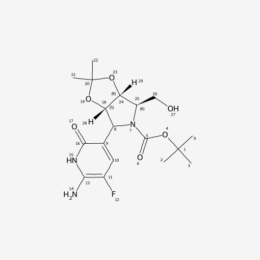 CC(C)(C)OC(=O)N1C(c2cc(F)c(N)[nH]c2=O)[C@@H]2OC(C)(C)O[C@@H]2[C@H]1CO